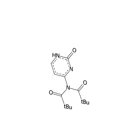 CC(C)(C)C(=O)N(C(=O)C(C)(C)C)c1cc[nH]c(=O)n1